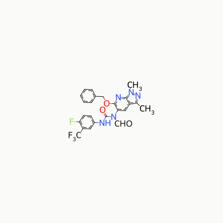 Cc1nn(C)c2nc(OCc3ccccc3)c(N(C=O)C(=O)Nc3ccc(F)c(C(F)(F)F)c3)cc12